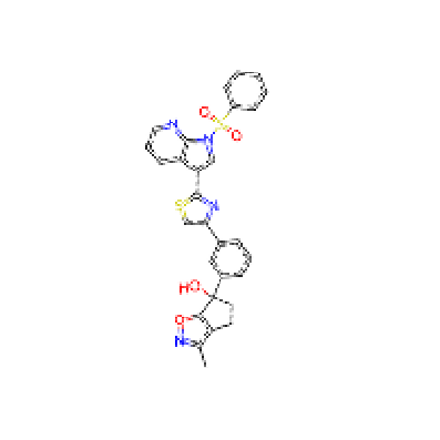 Cc1noc2c1CCC2(O)c1cccc(-c2csc(-c3cn(S(=O)(=O)c4ccccc4)c4ncccc34)n2)c1